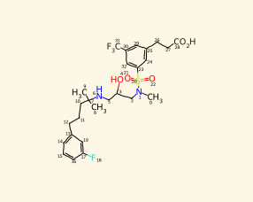 CN(CC(O)CNC(C)(C)CCCc1cccc(F)c1)S(=O)(=O)c1cc(CCC(=O)O)cc(C(F)(F)F)c1